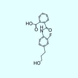 O=C(O)c1ccccc1C(=O)Nc1ccc(CCCO)cc1F